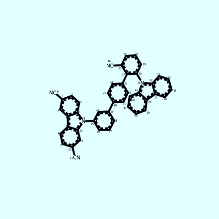 N#Cc1ccc2c(c1)c1ccc(C#N)cc1n2-c1cccc(-c2ccc(-c3c(C#N)cccc3-n3c4ccccc4c4ccccc43)cc2)c1